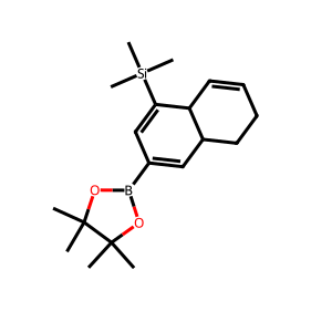 CC1(C)OB(C2=CC3CCC=CC3C([Si](C)(C)C)=C2)OC1(C)C